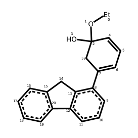 CCOC1(O)C=CC=C(c2cccc3c2Cc2ccccc2-3)C1